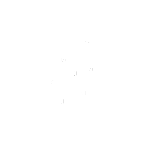 BrC(Br)Br.ClC(Cl)(Cl)Cl